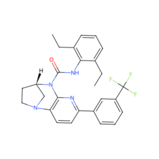 CCc1cccc(CC)c1NC(=O)N1c2nc(-c3cccc(C(F)(F)F)c3)ccc2N2CC[C@H]1C2